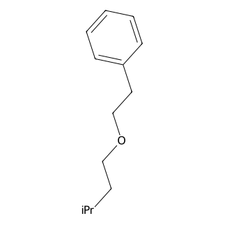 CC(C)CCOCCc1ccccc1